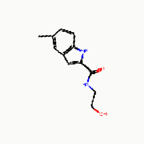 Cc1ccc2[nH]c(C(=O)NCCO)cc2c1